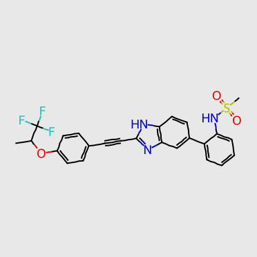 CC(Oc1ccc(C#Cc2nc3cc(-c4ccccc4NS(C)(=O)=O)ccc3[nH]2)cc1)C(F)(F)F